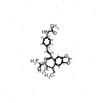 CCC1c2cc3c(cc2C(/C=C/c2ccc(NC(C)=O)cc2)=NN(C(C)=O)C1C)OCO3